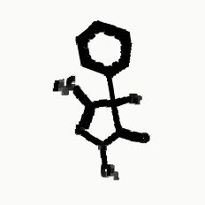 CC1=NN(C)C(=O)C1(Br)c1ccccc1